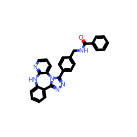 O=C(NCc1ccc(-c2nnc3n2-c2cccnc2Nc2ccccc2-3)cc1)c1ccccc1